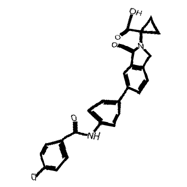 O=C(Nc1ccc(-c2ccc3c(c2)C(=O)N(C2(C(=O)O)CC2)C3)cc1)c1ccc(Cl)cc1